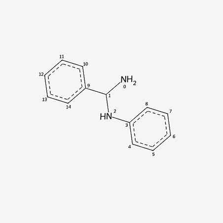 NC(Nc1ccccc1)c1ccccc1